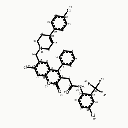 O=C(Cc1c(-c2ccccc2)c2cc(CN3CC=C(c4ccc(Cl)cc4)CC3)c(Cl)cc2oc1=O)Nc1ccc(Cl)cc1C(F)(F)F